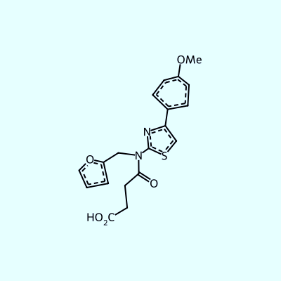 COc1ccc(-c2csc(N(Cc3ccco3)C(=O)CCC(=O)O)n2)cc1